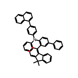 CC1(C)c2ccccc2-c2c(-c3cc(-c4ccccc4)ccc3N(c3ccccc3)c3ccc(-c4cccc5ccccc45)cc3)cccc21